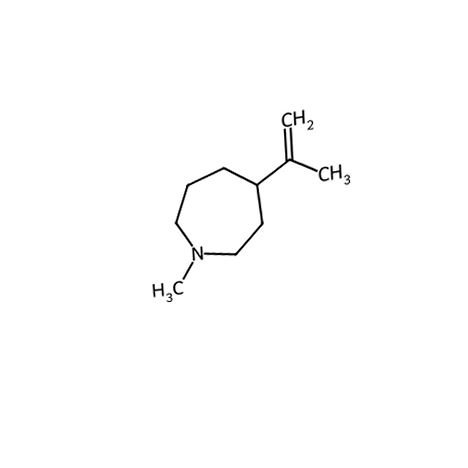 C=C(C)C1CCCN(C)CC1